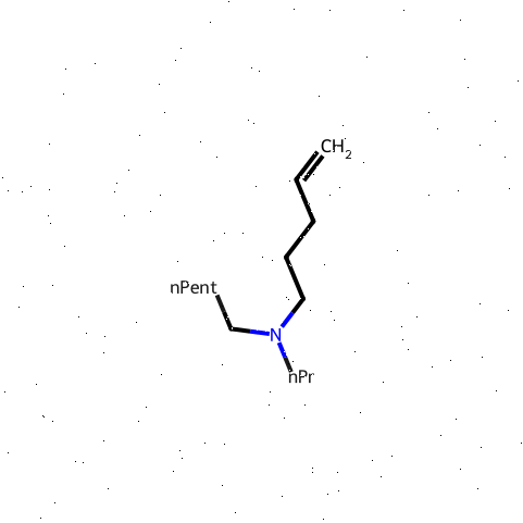 C=CCCCN(CCC)CCCCCC